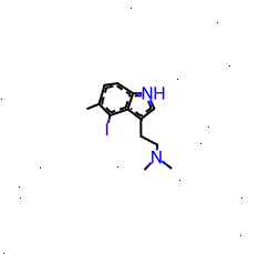 Cc1ccc2[nH]cc(CCN(C)C)c2c1I